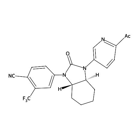 CC(=O)c1ccc(N2C(=O)N(c3ccc(C#N)c(C(F)(F)F)c3)[C@H]3CCCC[C@@H]32)cn1